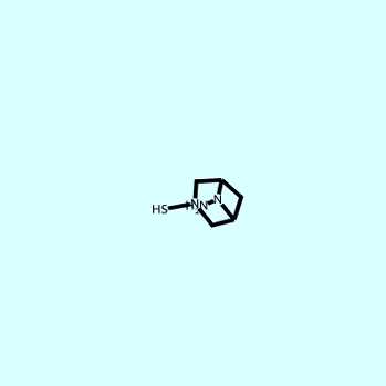 NN1C2CC1CN(S)C2